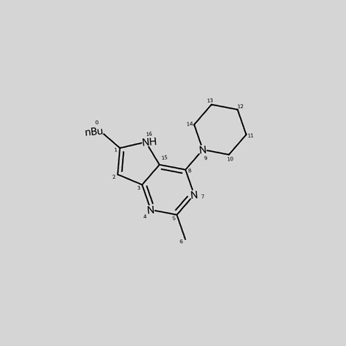 CCCCc1cc2nc(C)nc(N3CCCCC3)c2[nH]1